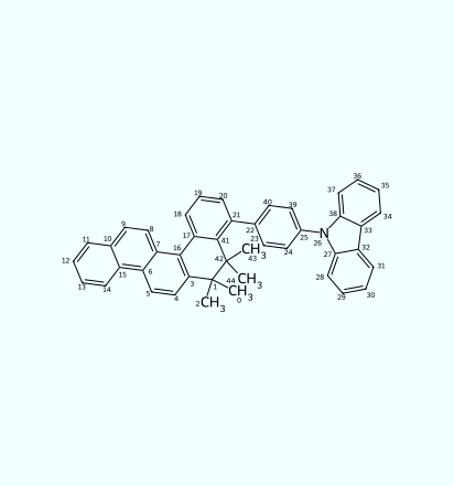 CC1(C)c2ccc3c(ccc4ccccc43)c2-c2cccc(-c3ccc(-n4c5ccccc5c5ccccc54)cc3)c2C1(C)C